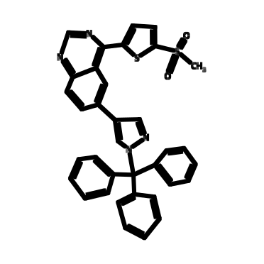 CS(=O)(=O)c1ccc(-c2ncnc3ccc(-c4cnn(C(c5ccccc5)(c5ccccc5)c5ccccc5)c4)cc23)s1